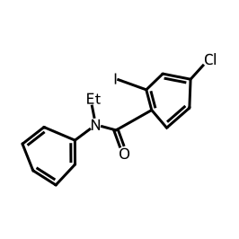 CCN(C(=O)c1ccc(Cl)cc1I)c1ccccc1